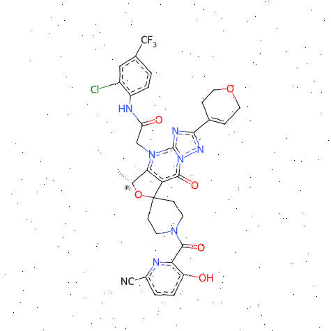 C[C@H]1OC2(CCN(C(=O)c3nc(C#N)ccc3O)CC2)c2c1n(CC(=O)Nc1ccc(C(F)(F)F)cc1Cl)c1nc(C3=CCOCC3)nn1c2=O